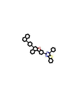 c1ccc(-c2nc(-c3ccc4c(c3)oc3cc(-c5ccc(-c6cccc7ccccc67)cc5)c5ccccc5c34)nc3c2sc2ccccc23)cc1